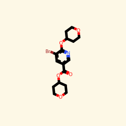 O=C(OC1CCOCC1)c1cnc(OC2CCOCC2)c(Br)c1